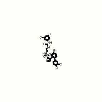 CC(C)c1ccc(-c2ccc(Cl)c(Cl)c2)c(-c2ccsc2S(=O)(=O)NCCNC(=O)Nc2cc(Cl)cc(Cl)c2)c1